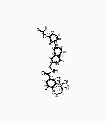 O=C(NCc1cc2nc(-c3cccc(OC(F)F)c3)ccc2cn1)c1cc(F)c2c(c1)S(=O)(=O)[C@@H](F)CCO2